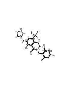 Cc1cc(C)c(CN2CCc3c(C(F)(F)F)cc(O[C@@H]4CCOC4)c(Cl)c3C2=O)c(=O)[nH]1